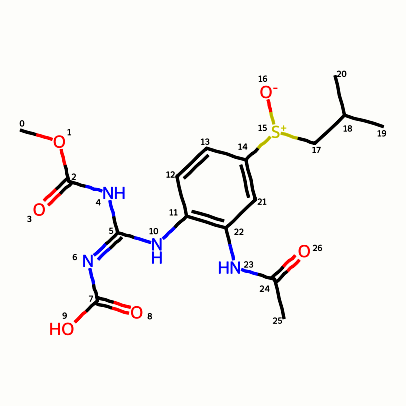 COC(=O)N/C(=N/C(=O)O)Nc1ccc([S+]([O-])CC(C)C)cc1NC(C)=O